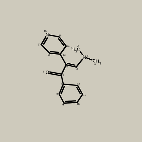 CN(C)C=C(C(=O)c1ccccc1)c1ccncc1